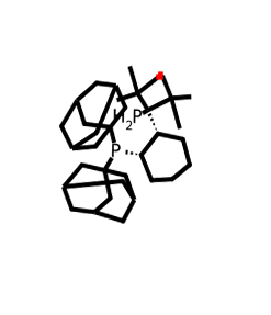 CC(C)(C)C(P)([C@@H]1CCCC[C@@H]1P(C12CC3CC(CC(C3)C1)C2)C12CC3CC(CC(C3)C1)C2)C(C)(C)C